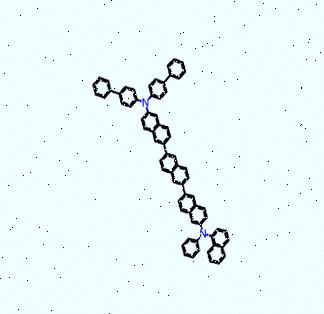 c1ccc(-c2ccc(N(c3ccc(-c4ccccc4)cc3)c3ccc4cc(-c5ccc6cc(-c7ccc8cc(N(c9ccccc9)c9cccc%10ccccc9%10)ccc8c7)ccc6c5)ccc4c3)cc2)cc1